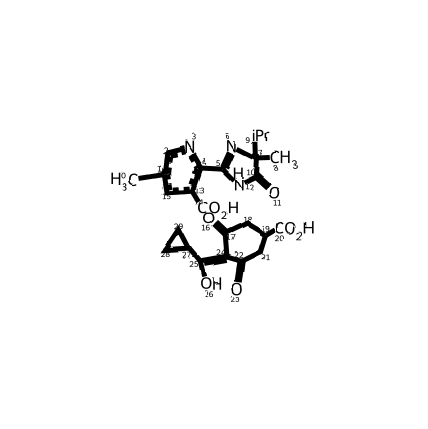 Cc1cnc(C2=NC(C)(C(C)C)C(=O)N2)c(C(=O)O)c1.O=C1CC(C(=O)O)CC(=O)C1=C(O)C1CC1